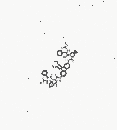 CCCCC1(CCCC)C2=C(CCC(NC(=O)[C@@H]3CC4(CC4)CN3C(O)[C@H](NC(=O)OC)c3ccccc3)=C2)c2ccc(NC(=O)[C@@H]3C[C@H]4CCC[C@H]4N3C(=O)[C@H](NC(=O)OC)c3ccccc3)cc21